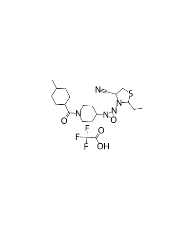 CCC1SCC(C#N)N1n1on1C1CCN(C(=O)C2CCC(C)CC2)CC1.O=C(O)C(F)(F)F